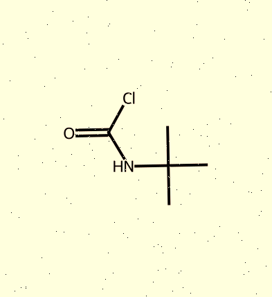 CC(C)(C)NC(=O)Cl